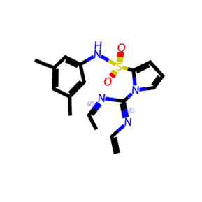 C=C/N=C(\N=C/C)n1cccc1S(=O)(=O)Nc1cc(C)cc(C)c1